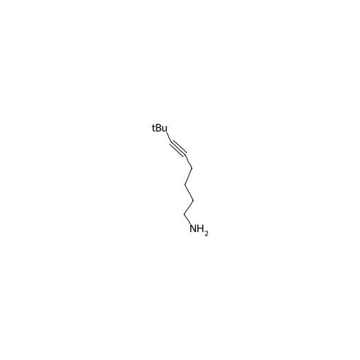 CC(C)(C)C#CCCCCN